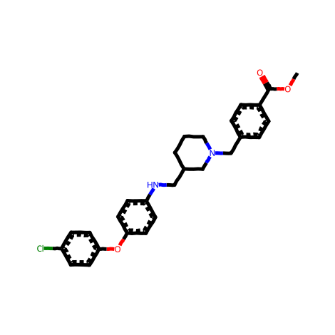 COC(=O)c1ccc(CN2CCCC(CNc3ccc(Oc4ccc(Cl)cc4)cc3)C2)cc1